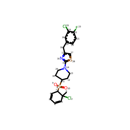 CC1(Cl)C=CC=CC1S(=O)(=O)C1CCN(c2nc(Cc3ccc(F)c(Cl)c3)cs2)CC1